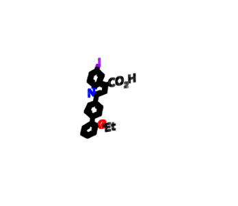 CCOc1ccccc1-c1ccc(-c2cc(C(=O)O)c3cc(I)ccc3n2)cc1